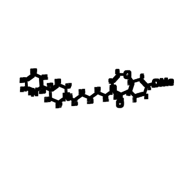 COc1ccc2c(c1)OC=CN(CCCCCN1CC=C(c3ccccn3)CC1)C2=O